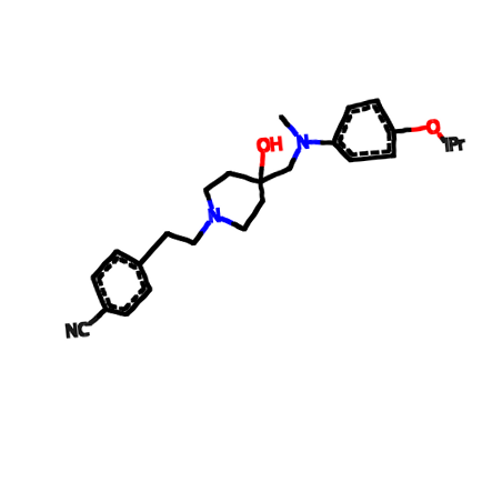 CC(C)Oc1ccc(N(C)CC2(O)CCN(CCc3ccc(C#N)cc3)CC2)cc1